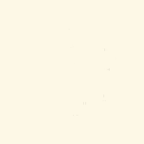 C/[C](c1ccccc1)=[Zr](\[C]1=CC(c2ccccc2)=CC1)[c]1cc(C(C)(C)C)cc2c1Cc1ccc(C(C)(C)C)cc1-2.Cl.Cl